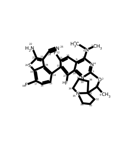 CC(Oc1nc(N(C)C)c2cc(F)c(-c3ccc(F)c4sc(N)c(C#N)c34)c(F)c2n1)C12CCCN1CCC2